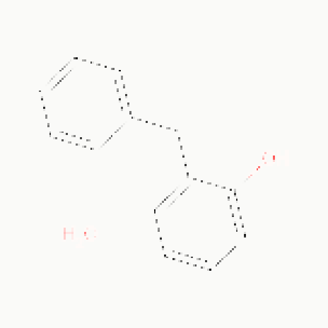 O.Oc1ccccc1Cc1ccccc1